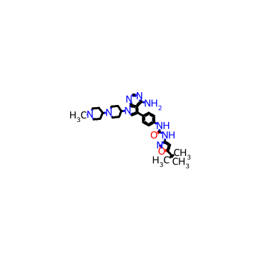 CN1CCC(N2CCC(n3cc(-c4ccc(NC(=O)Nc5cc(C(C)(C)C)on5)cc4)c4c(N)ncnc43)CC2)CC1